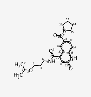 CC(C)OCCCNC(=O)c1cc(=O)[nH]c2ccc([S+]([O-])N3CCCC3)cc12